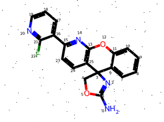 NC1=NC2(CO1)c1ccccc1Oc1nc(-c3cccnc3F)ccc12